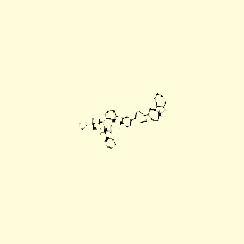 c1ccc(-c2nc(-c3ccccc3)nc(-c3cccc4c3oc3ccc(-c5ccc6c(c5)oc5cc7oc8ccccc8c7cc56)cc34)n2)cc1